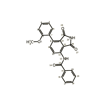 COc1ccccc1-c1ccc(NC(=O)c2ccccc2)c2c1C(=O)NC2=O